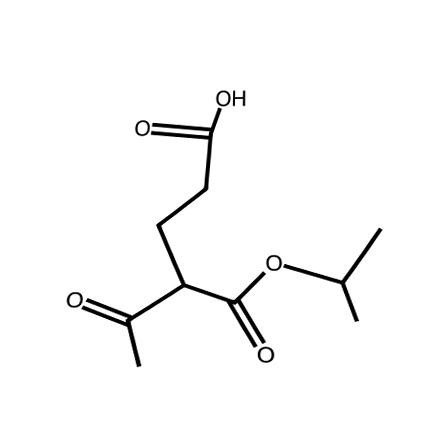 CC(=O)C(CCC(=O)O)C(=O)OC(C)C